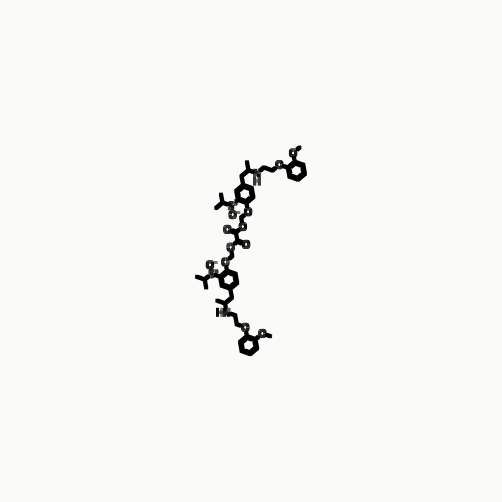 COc1ccccc1OCCNC(C)Cc1ccc(OCOC(=O)C(=O)OCOc2ccc(CC(C)NCCOc3ccccc3OC)cc2[S+]([O-])C(C)C)c([S+]([O-])C(C)C)c1